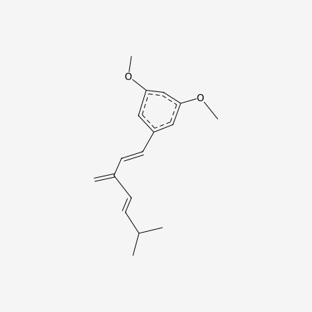 C=C(/C=C/c1cc(OC)cc(OC)c1)/C=C/C(C)C